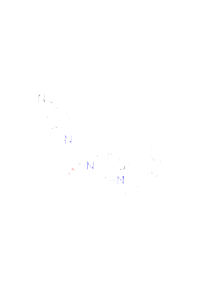 N#Cc1ccc(N2CC(C(=O)N3CCC(C4(C5CCCC5)NCCc5ccccc54)CC3)C2)cc1